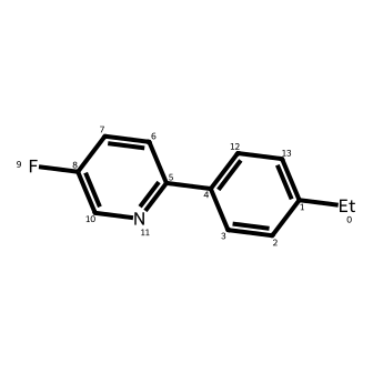 CCc1ccc(-c2ccc(F)cn2)cc1